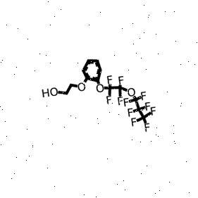 OCCOc1ccccc1OC(F)(F)C(F)(F)OC(F)(F)C(F)(F)C(F)(F)F